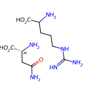 N=C(N)NCCCC(N)C(=O)O.NC(=O)C[C@@H](N)C(=O)O